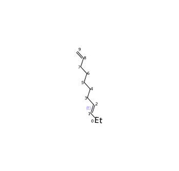 [CH2]C/C=C/CCCCCC=C